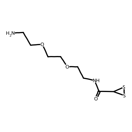 NCCOCCOCCNC(=O)C1SS1